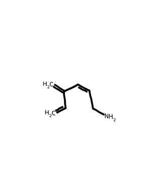 C=CC(=C)/C=C\CN